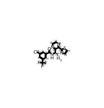 C[C@@H](NC(=O)c1cc(Cl)cc(C(F)(F)F)c1)c1nccnc1-c1nccs1